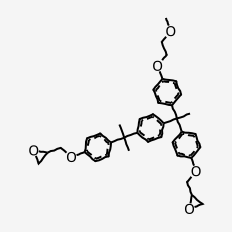 COCCOc1ccc(C(C)(c2ccc(OCC3CO3)cc2)c2ccc(C(C)(C)c3ccc(OCC4CO4)cc3)cc2)cc1